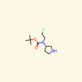 CC(C)(C)OC(=O)N(CCF)[C@@H]1CCNC1